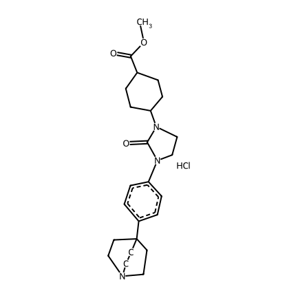 COC(=O)C1CCC(N2CCN(c3ccc(C45CCN(CC4)CC5)cc3)C2=O)CC1.Cl